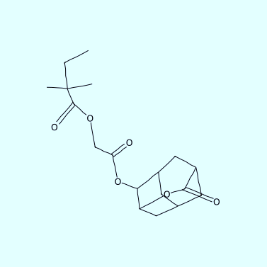 CCC(C)(C)C(=O)OCC(=O)OC1C2CC3CC(C2)C(=O)OC1C3